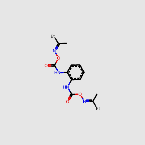 CCC(C)=NOC(=O)Nc1ccccc1NC(=O)ON=C(C)CC